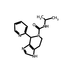 CC(C)NC(=O)N1CCc2[nH]cnc2C1c1ccccn1